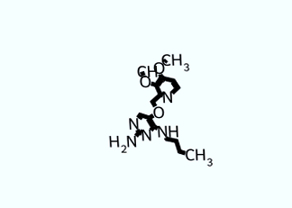 CCCCNc1nc(N)ncc1OCc1nccc(OC)c1OC